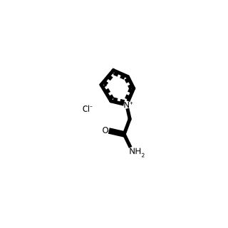 NC(=O)C[n+]1ccccc1.[Cl-]